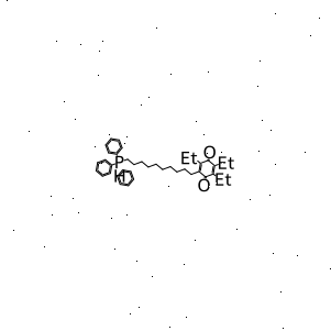 CCC1=C(CC)C(=O)C(CCCCCCCCCC[PH](c2ccccc2)(c2ccccc2)c2ccccc2)=C(CC)C1=O